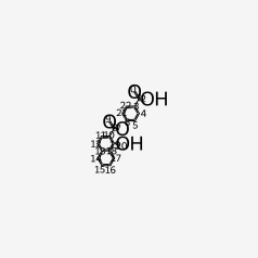 O=C(O)c1ccc(OC(=O)c2ccc3ccccc3c2O)cc1